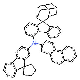 c1ccc2c(c1)-c1ccc(N(c3ccc4c(ccc5ccccc54)c3)c3cccc4c3-c3ccccc3C43C4CC5CC(C4)CC3C5)cc1C21CCCC1